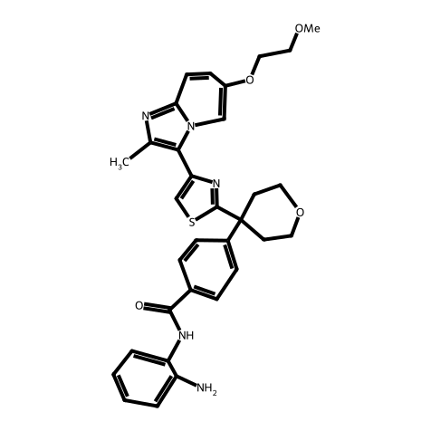 COCCOc1ccc2nc(C)c(-c3csc(C4(c5ccc(C(=O)Nc6ccccc6N)cc5)CCOCC4)n3)n2c1